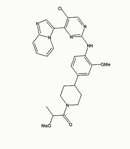 COc1cc(C2CCN(C(=O)C(C)OC)CC2)ccc1Nc1ncc(Cl)c(-c2cnc3ccccn23)n1